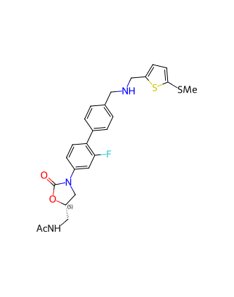 CSc1ccc(CNCc2ccc(-c3ccc(N4C[C@H](CNC(C)=O)OC4=O)cc3F)cc2)s1